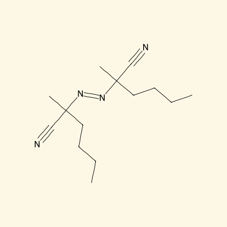 CCCCC(C)(C#N)N=NC(C)(C#N)CCCC